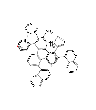 Nc1c(N)c(-c2cccc(-c3cccc4ccccc34)c2-c2cccs2)c(-c2cccc(-c3cccc4ccccc34)c2-c2cccs2)c(-c2ccccc2)c1-c1ccccc1-c1ccccc1